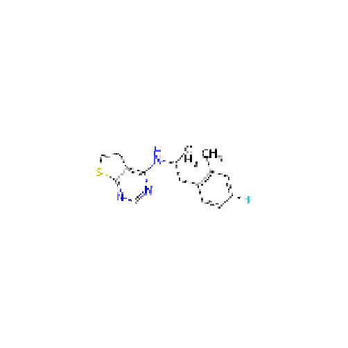 Cc1cc(F)ccc1CC(C)Nc1ncnc2sccc12